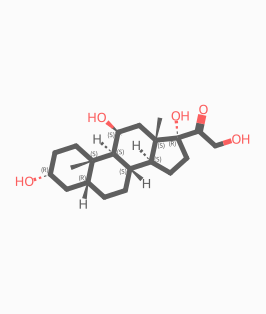 C[C@]12CC[C@@H](O)C[C@H]1CC[C@@H]1[C@@H]2[C@@H](O)C[C@@]2(C)[C@H]1CC[C@]2(O)C(=O)CO